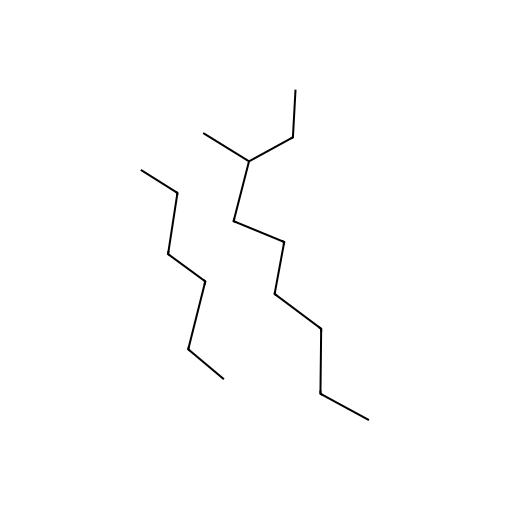 CCCCCC.CCCCCCC(C)CC